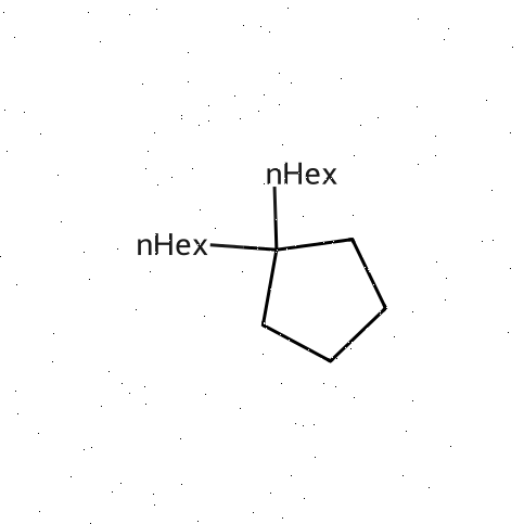 CCCCCCC1(CCCCCC)CCCC1